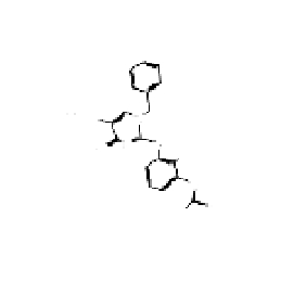 COc1cn(Cc2ccccc2)c(Nc2cccc(OC(F)F)c2Cl)nc1=O